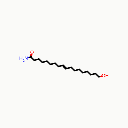 NC(=O)CCCCCCCC=CCCCCCCCCO